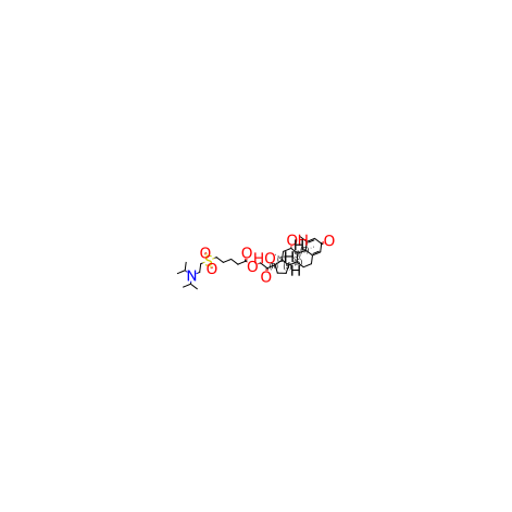 CC1=CC(=O)C=C2CC[C@@H]3[C@H](C(O)C[C@@]4(C)[C@H]3CC[C@]4(O)C(=O)COC(=O)CCCCS(=O)(=O)CCN(C(C)C)C(C)C)[C@@]12C